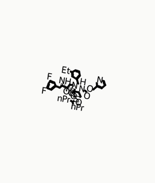 CCCC(CCC)S(=O)(=O)CC(NC(=O)OCc1cccnc1)C(=O)N(Cc1cccc(CC)c1)C[C@@H](O)[C@@H](N)Cc1cc(F)cc(F)c1